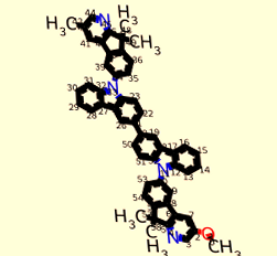 COc1cnc2c(c1)-c1cc(-n3c4ccccc4c4cc(-c5ccc6c(c5)c5ccccc5n6-c5ccc6c(c5)-c5cc(C)cnc5C6(C)C)ccc43)ccc1C2(C)C